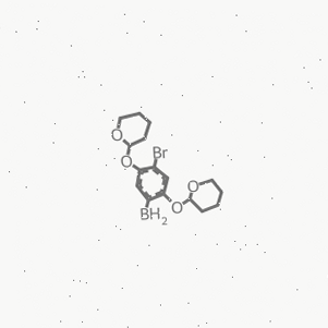 Bc1cc(OC2CCCCO2)c(Br)cc1OC1CCCCO1